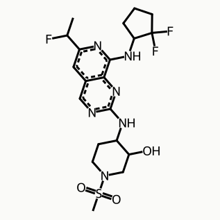 CC(F)c1cc2cnc(NC3CCN(S(C)(=O)=O)CC3O)nc2c(NC2CCCC2(F)F)n1